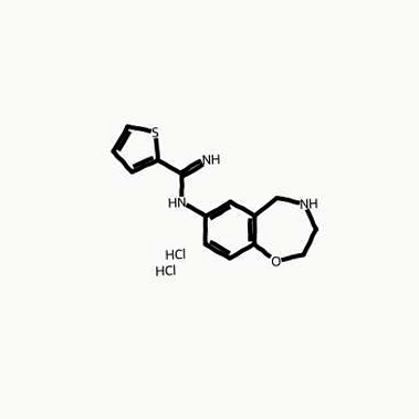 Cl.Cl.N=C(Nc1ccc2c(c1)CNCCO2)c1cccs1